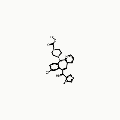 CC(C)OC(=O)N1CCN([C@H]2c3ccc(Cl)cc3C(C(=N)c3cncn3C)=Cc3cccnc32)CC1